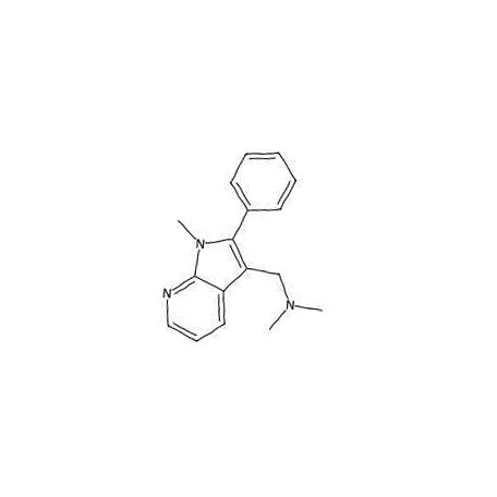 CN(C)Cc1c(-c2ccccc2)n(C)c2ncccc12